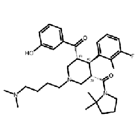 Cc1c(F)cccc1[C@@H]1[C@@H](C(=O)c2cccc(O)c2)CN(CCCCN(C)C)C[C@H]1C(=O)N1CCCC1(C)C